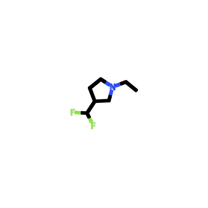 CCN1CCC(C(F)F)C1